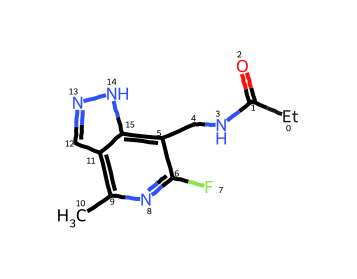 CCC(=O)NCc1c(F)nc(C)c2cn[nH]c12